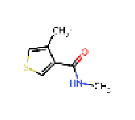 [CH2]c1cscc1C(=O)NC